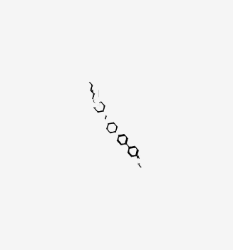 CCCCC[Si@H]1CC[C@H](CC[C@H]2CC[C@H](c3ccc(-c4ccc(OCC)cc4)cc3)CC2)CC1